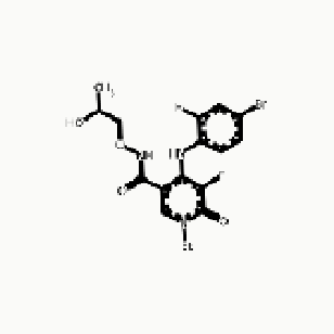 CCn1cc(C(=O)NOCC(C)O)c(Nc2ccc(Br)cc2F)c(F)c1=O